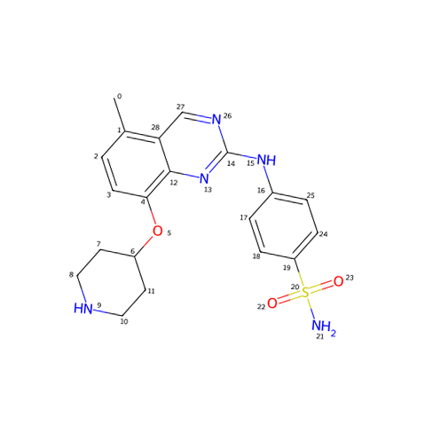 Cc1ccc(OC2CCNCC2)c2nc(Nc3ccc(S(N)(=O)=O)cc3)ncc12